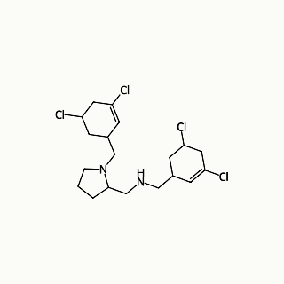 ClC1=CC(CNCC2CCCN2CC2C=C(Cl)CC(Cl)C2)CC(Cl)C1